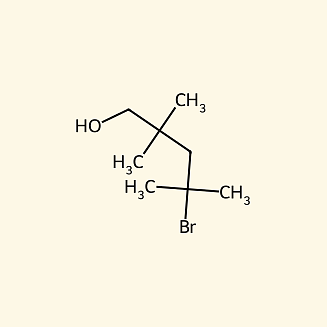 CC(C)(Br)CC(C)(C)CO